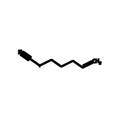 C=CCCC[CH]C#N